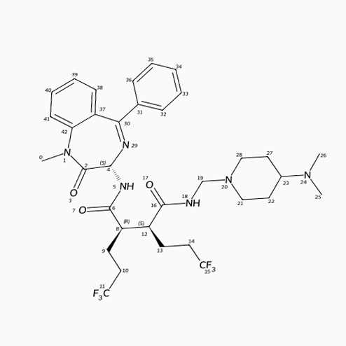 CN1C(=O)[C@@H](NC(=O)[C@H](CCC(F)(F)F)[C@H](CCC(F)(F)F)C(=O)NCN2CCC(N(C)C)CC2)N=C(c2ccccc2)c2ccccc21